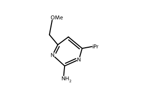 COCc1cc(C(C)C)nc(N)n1